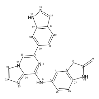 C=C1Cc2cc(Nc3nc(-c4ccc5cn[nH]c5c4)cn4ccnc34)ccc2N1